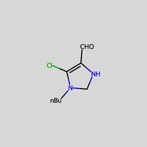 CCCCN1CNC(C=O)=C1Cl